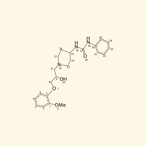 COc1ccccc1OCC(O)CN1CCC(NC(=O)Nc2ccccc2)CC1